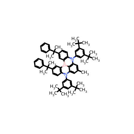 Cc1cc2c3c(c1)N(c1cc(C(C)(C)C)cc(C(C)(C)C)c1)c1ccc(C(C)(C)c4ccccc4)cc1B3c1cc(C(C)(C)c3ccccc3)ccc1N2c1cc(C(C)(C)C)cc(C(C)(C)C)c1